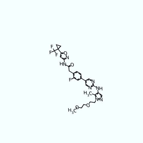 COCCOCCn1ncc(Nc2ncc(-c3ccc(CC(=O)Nc4cc(C5(C(F)(F)F)CC5)on4)c(F)c3)cn2)c1C